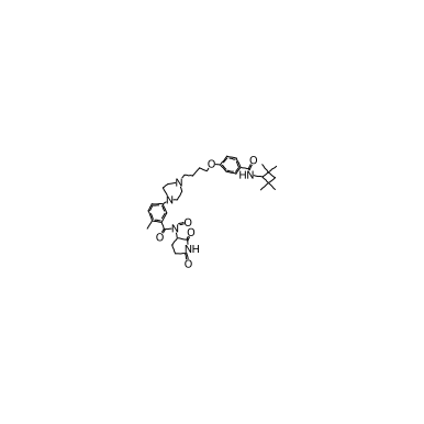 Cc1ccc(N2CCN(CCCCOc3ccc(C(=O)NC4C(C)(C)CC4(C)C)cc3)CC2)cc1C(=O)N(C=O)C1CCC(=O)NC1=O